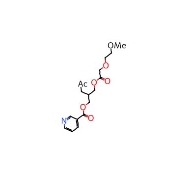 COCCOCC(=O)OCC(COC(=O)c1cccnc1)CC(C)=O